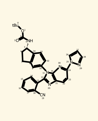 CC(C)(C)OC(=O)N[C@H]1CCc2cc(-n3c(-c4ccccc4C#N)nc4ccc(-n5cccn5)nc43)ccc21